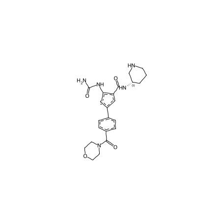 NC(=O)Nc1sc(-c2ccc(C(=O)N3CCOCC3)cc2)cc1C(=O)N[C@H]1CCCNC1